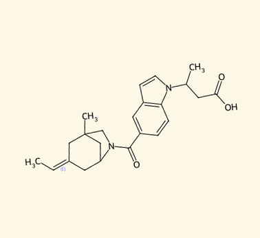 C/C=C1/CC2CC(C)(C1)CN2C(=O)c1ccc2c(ccn2C(C)CC(=O)O)c1